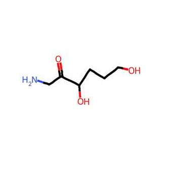 NCC(=O)C(O)CCCO